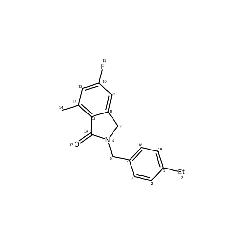 CCc1ccc(CN2Cc3cc(F)cc(C)c3C2=O)cc1